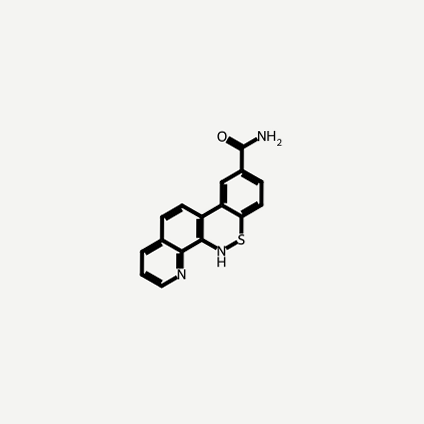 NC(=O)c1ccc2c(c1)-c1ccc3cccnc3c1NS2